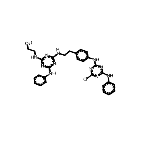 OCCNc1nc(NCCc2ccc(Nc3nc(Cl)nc(Nc4ccccc4)n3)cc2)nc(Nc2ccccc2)n1